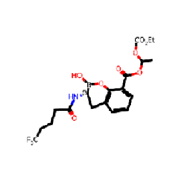 CCOC(=O)OC(C)OC(=O)c1cccc2c1OB(O)[C@@H](NC(=O)CCCC(F)(F)F)C2